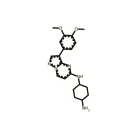 COc1ccc(-c2cnn3ccc(NC4CCC(N)CC4)nc23)cc1OC